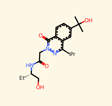 CC[C@@H](CO)NC(=O)Cn1nc(C(C)C)c2cc(C(C)(C)O)ccc2c1=O